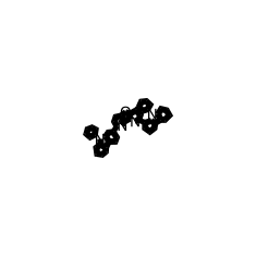 c1ccc(-n2c3ccccc3c3ccc(-c4ccc5oc6ccc(-c7cccc8c9ccccc9n(-c9ccccc9)c78)nc6c5n4)cc32)cc1